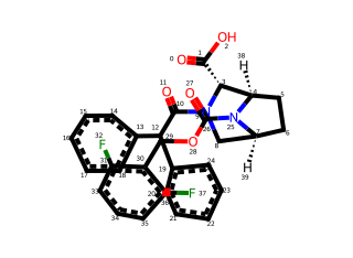 O=C(O)[C@@H]1[C@H]2CC[C@@H](CN1C(=O)C(c1ccccc1)c1ccccc1)N2C(=O)OCc1c(F)cccc1F